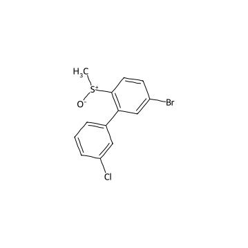 C[S+]([O-])c1ccc(Br)cc1-c1cccc(Cl)c1